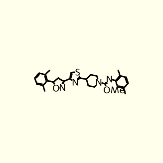 CO/C(=N\c1cc(C)ccc1C)N1CCC(c2nc(C3=NOC(c4c(C)cccc4C)C3)cs2)CC1